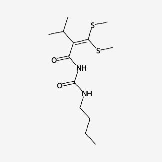 CCCCNC(=O)NC(=O)C(=C(SC)SC)C(C)C